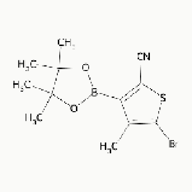 Cc1c(Br)sc(C#N)c1B1OC(C)(C)C(C)(C)O1